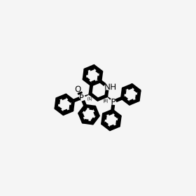 O=P(c1ccccc1)(c1ccccc1)[C@H]1C[C@@H](P(c2ccccc2)c2ccccc2)Nc2ccccc21